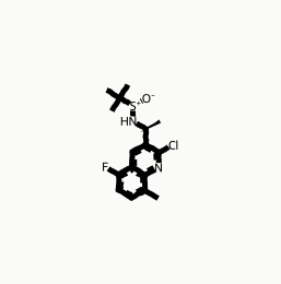 Cc1ccc(F)c2cc([C@H](C)N[S+]([O-])C(C)(C)C)c(Cl)nc12